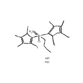 CC[CH2][Zr](=[SiH2])([Cl])([C]1=C(C)C(C)=C(C)C1C)[C]1=C(C)C(C)=C(C)C1C.Cl.Cl